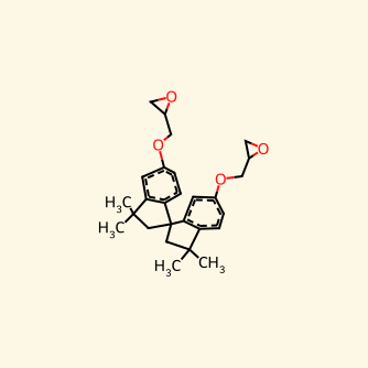 CC1(C)CC2(CC(C)(C)c3ccc(OCC4CO4)cc32)c2ccc(OCC3CO3)cc21